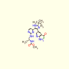 COC(=O)N[C@@H](C)CNc1nccc(-c2[nH]c(C(C)(C)C)nc2-c2cnc(N)c(C(=O)F)c2)n1